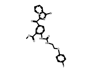 COC(=O)c1cc(C(=O)c2nc(Br)c3ccccn23)ccc1NC(=O)NCCOc1ccc(F)cc1